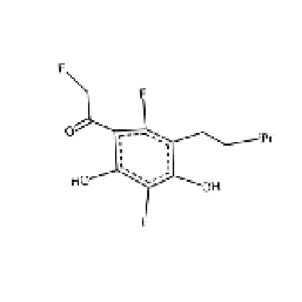 CC(C)CCc1c(O)c(F)c(O)c(C(=O)CF)c1F